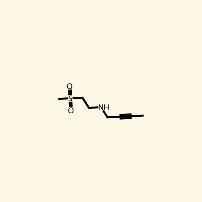 CC#CCNCCS(C)(=O)=O